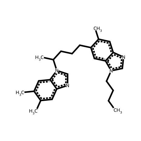 CCCCn1cnc2cc(C)c(CCCC(C)n3cnc4cc(C)c(C)cc43)cc21